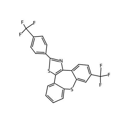 FC(F)(F)c1ccc(-c2nc3c(s2)-c2ccccc2Sc2cc(C(F)(F)F)ccc2-3)cc1